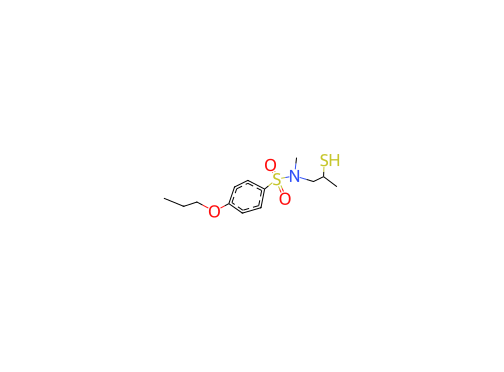 CCCOc1ccc(S(=O)(=O)N(C)CC(C)S)cc1